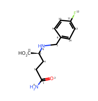 NC(=O)CC[C@H](NCc1ccc(F)cc1)C(=O)O